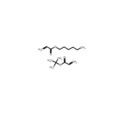 C=CC(=O)OC(C)(C)C.C=CC(=O)OCCCCCC